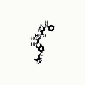 Cc1ncoc1COc1ccc2c(c1)CN[C@H]([C@H](O)CNC(=O)c1cc(NC3CCCCC3)ncn1)C2